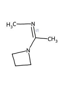 C/N=C(/C)N1CCC1